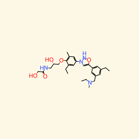 CCc1cc(CN(C)CC)cc(C2=CN(c3cc(C)c(OC[C@@H](O)CNC(=O)CO)c(CC)c3)NO2)c1